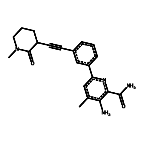 Cc1cc(-c2cccc(C#CC3CCCN(C)C3=O)c2)nc(C(N)=O)c1N